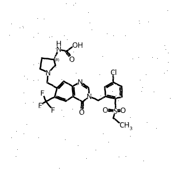 CCS(=O)(=O)c1ccc(Cl)cc1Cn1cnc2cc(CN3CC[C@@H](NC(=O)O)C3)c(C(F)(F)F)cc2c1=O